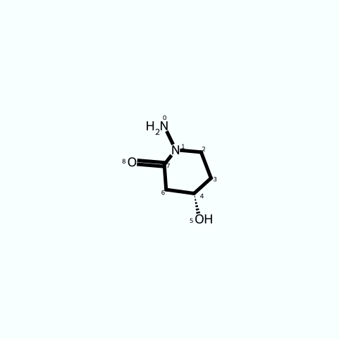 NN1CC[C@H](O)CC1=O